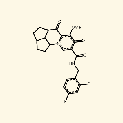 COc1c2n(cc(C(=O)NCc3ccc(F)cc3F)c1=O)C1CCC3CCN(C2=O)C31